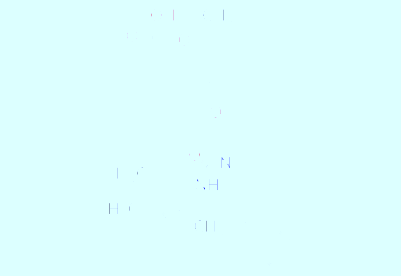 CCOC(Cc1ccc(OCCN(CCCCc2ccccc2)C(=O)Nc2cc(C)c(C)cc2C)cc1)C(=O)O